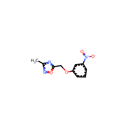 Cc1noc(COc2cccc([N+](=O)[O-])c2)n1